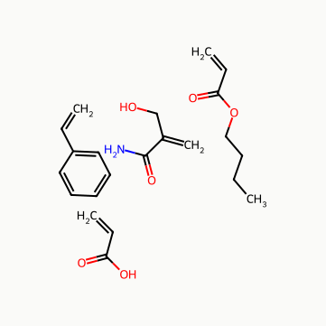 C=C(CO)C(N)=O.C=CC(=O)O.C=CC(=O)OCCCC.C=Cc1ccccc1